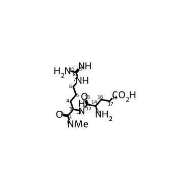 CNC(=O)C(CCCNC(=N)N)NC(=O)C(N)CCC(=O)O